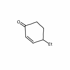 CCC1C=CC(=O)CC1